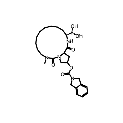 CN1CCCCCCCCC[C@@H](B(O)O)NC(=O)C2CC(OC(=O)N3Cc4ccccc4C3)CN2C1=O